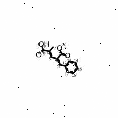 COC(=O)C(C=C(C)C(=O)O)=Cc1ccccc1